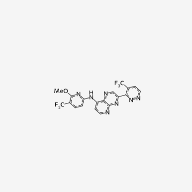 COc1nc(Nc2ccnc3nc(-c4nnccc4C(F)(F)F)cnc23)ccc1C(F)(F)F